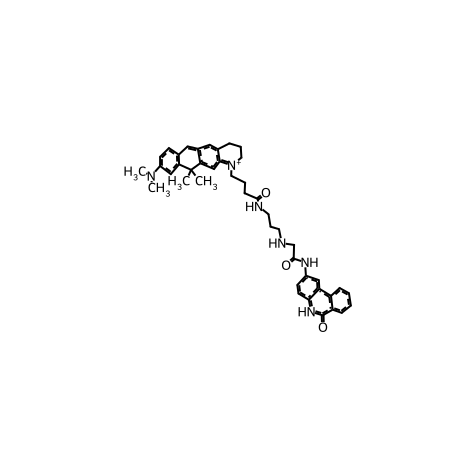 CN(C)c1ccc2c(c1)C(C)(C)c1cc3c(cc1=C2)CCC[N+]=3CCCC(=O)NCCCNCC(=O)Nc1ccc2[nH]c(=O)c3ccccc3c2c1